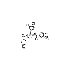 CC(=O)N1CCC(C(=O)N2CC[C@@H](N(C)C(=O)c3ccc(Cl)c(C(F)(F)F)c3)[C@H](c3ccc(Cl)c(Cl)c3)C2)CC1